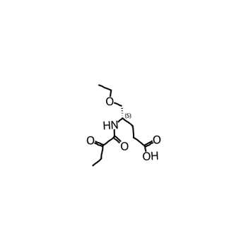 CCOC[C@H](CCC(=O)O)NC(=O)C(=O)CC